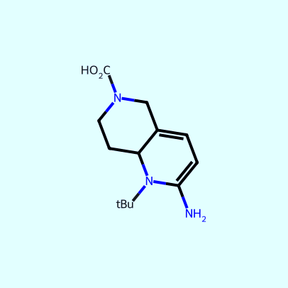 CC(C)(C)N1C(N)=CC=C2CN(C(=O)O)CCC21